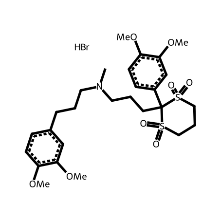 Br.COc1ccc(CCCN(C)CCCC2(c3ccc(OC)c(OC)c3)S(=O)(=O)CCCS2(=O)=O)cc1OC